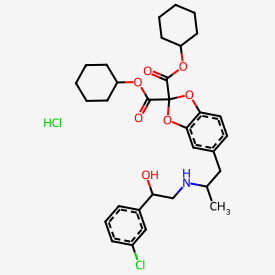 CC(Cc1ccc2c(c1)OC(C(=O)OC1CCCCC1)(C(=O)OC1CCCCC1)O2)NCC(O)c1cccc(Cl)c1.Cl